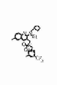 CCN(CC1CCCC1)c1nc2ccc(C)cc2cc1CN(Cc1cc(C)cc(C(F)(F)F)c1)C(=O)OC